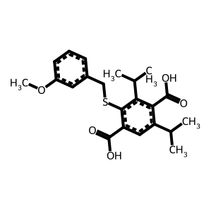 COc1cccc(CSc2c(C(=O)O)cc(C(C)C)c(C(=O)O)c2C(C)C)c1